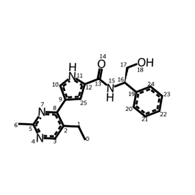 CCc1cnc(C)nc1-c1c[nH]c(C(=O)N[C@@H](CO)c2ccccc2)c1